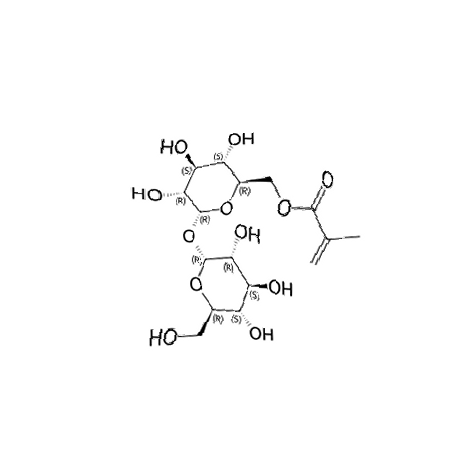 C=C(C)C(=O)OC[C@H]1O[C@H](O[C@H]2O[C@H](CO)[C@@H](O)[C@H](O)[C@H]2O)[C@H](O)[C@@H](O)[C@@H]1O